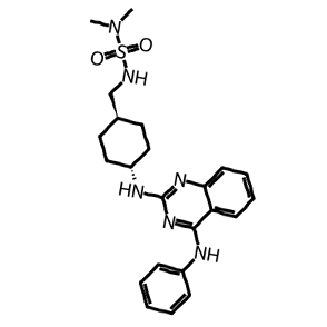 CN(C)S(=O)(=O)NC[C@H]1CC[C@H](Nc2nc(Nc3ccccc3)c3ccccc3n2)CC1